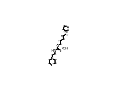 Cl.S=C(NCCN1CCOCC1)OCCCCC[C@@H]1CCSS1